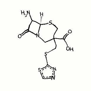 NC1C(=O)N2CC(CSc3nncs3)(C(=O)O)CS[C@H]12